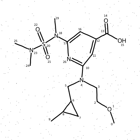 COCCN(CC1CC1C)c1cc(C(=O)O)cc(N(C)S(=O)(=O)N(C)C)n1